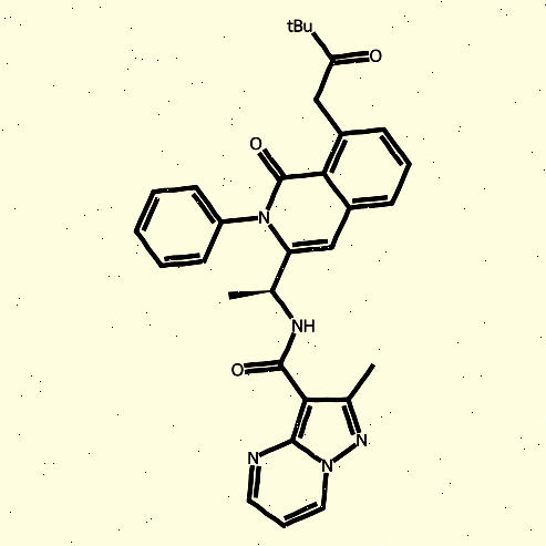 Cc1nn2cccnc2c1C(=O)N[C@@H](C)c1cc2cccc(CC(=O)C(C)(C)C)c2c(=O)n1-c1ccccc1